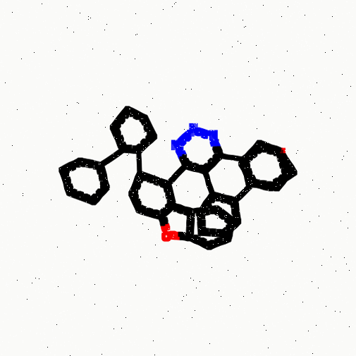 c1ccc(-c2ccccc2-c2ccc3oc4ccccc4c3c2-c2nnnc(-c3ccccc3)c2-c2ccccc2-c2ccccc2)cc1